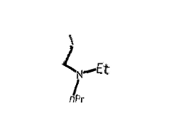 CCCN(CC)CI